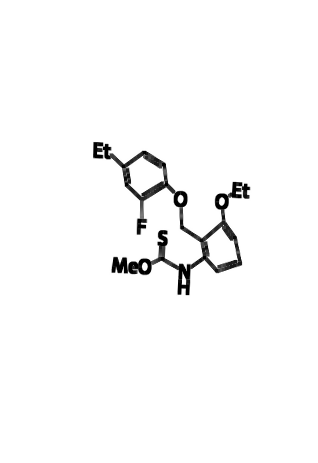 CCOc1cccc(NC(=S)OC)c1COc1ccc(CC)cc1F